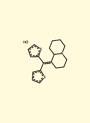 Cl.c1csc(C(=C2CCCN3CCCCC23)c2cccs2)c1